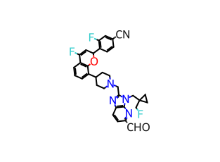 N#Cc1ccc(C2C=C(F)c3cccc(C4CCN(Cc5nc6ccc(C=O)nc6n5CC5(CF)CC5)CC4)c3O2)c(F)c1